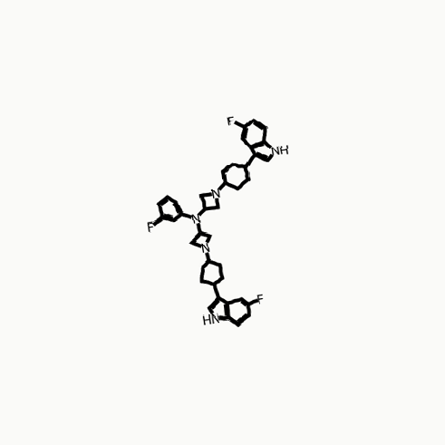 Fc1cccc(N(C2CN(C3CCC(c4c[nH]c5ccc(F)cc45)CC3)C2)C2CN(C3CCC(c4c[nH]c5ccc(F)cc45)CC3)C2)c1